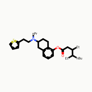 CCCCC(CC)C(CC)CC(=O)Oc1cccc2c1CCC(N(CCC)CCc1cccs1)C2